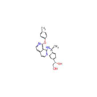 Cc1ccc(Oc2nccc3ccnc(N[C@@H](C)c4ccc(C(O)CO)cc4)c23)cc1